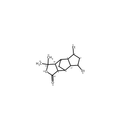 CCC1CC(CC)C2C3CC(C4C(=O)OC(C)(C)C34)C12